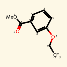 COC(=O)c1c[c]cc(OCC(F)(F)F)c1